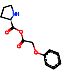 O=C(COc1ccccc1)OC(=O)[C@@H]1CCCN1